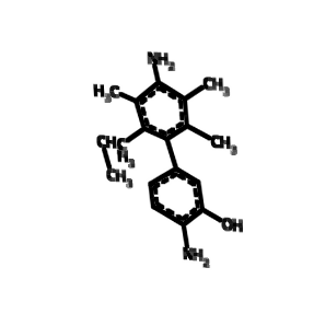 CC.Cc1c(C)c(-c2ccc(N)c(O)c2)c(C)c(C)c1N